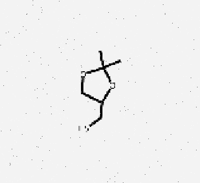 CC1(C)OCC(CS)O1